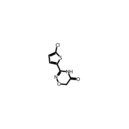 O=C1CON=C(c2ccc(Cl)s2)N1